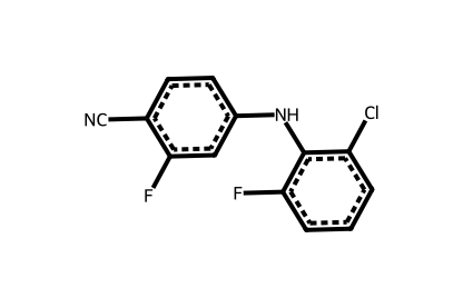 N#Cc1ccc(Nc2c(F)cccc2Cl)cc1F